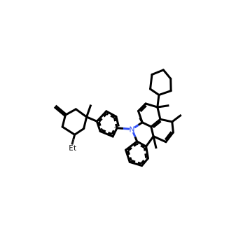 C=C1CC(CC)CC(C)(c2ccc(N3c4ccccc4C4(C)C=CC(C)C5=C4C3(C)C=CC5(C)C3CCCCC3)cc2)C1